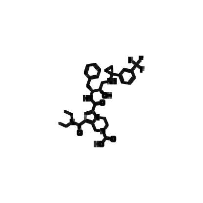 CCN(CC)C(=O)c1cc(C(=O)N[C@@H](Cc2ccccc2)[C@H](O)CNC2(c3cccc(C(F)(F)F)c3)CC2)n2c1CN(C(=O)O)CC2